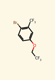 FC(F)(F)COc1ccc(Br)c(C(F)(F)F)c1